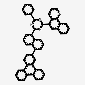 c1ccc(-c2nc(-c3cccc4c(-c5ccc6c7ccccc7c7ccccc7c6c5)cccc34)nc(-c3cc4ccccc4c4ncccc34)n2)cc1